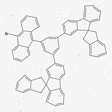 Brc1c2ccccc2c(-c2cc(-c3ccc4c(c3)C3(Cc5ccccc5C3)c3ccccc3-4)cc(-c3ccc4c(c3)C3(Cc5ccccc5C3)c3ccccc3-4)c2)c2ccccc12